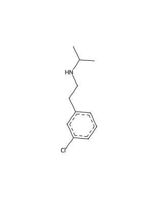 CC(C)NCCc1cccc(Cl)c1